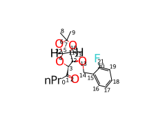 CCCC(=O)[C@H]1O[C@@H]2OC(C)(C)O[C@@H]2[C@H]1OCc1ccccc1F